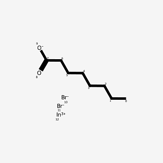 CCCCCCCC(=O)[O-].[Br-].[Br-].[In+3]